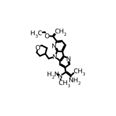 C=C(OCC)c1ccc2c3ncc(/C(=C(\C)N)N(C)N)cc3n(CC3CCOCC3)c2n1